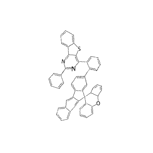 C1=CC2Oc3ccccc3C3(c4cc(-c5ccccc5-c5nc(-c6ccccc6)nc6c5sc5ccccc56)ccc4-c4cc5ccccc5cc43)C2C=C1